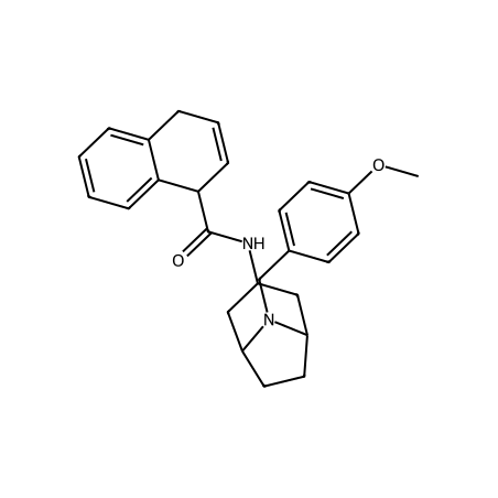 COc1ccc(CN2C3CCC2CC(NC(=O)C2C=CCc4ccccc42)C3)cc1